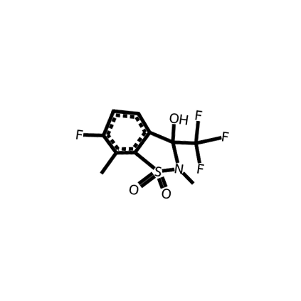 Cc1c(F)ccc2c1S(=O)(=O)N(C)C2(O)C(F)(F)F